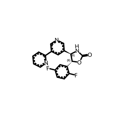 O=C1N[C@H](c2cncc(-c3ccccn3)c2)[C@@H](c2cc(F)ccc2F)O1